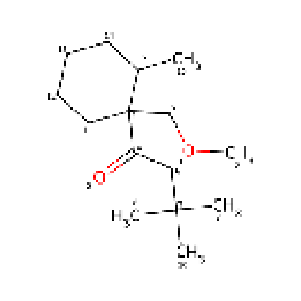 COCC1(C(=O)CC(C)(C)C)CCCCC1C